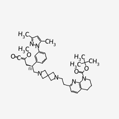 COC(=C=O)C[C@H](CN1CC2(CN(CCc3ccc4c(n3)N(C(=O)OC(C)(C)C)CCC4)C2)C1)c1cccc(-n2nc(C)cc2C)c1